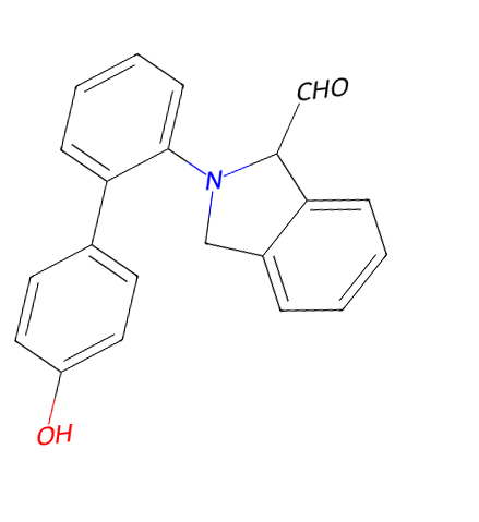 O=CC1c2ccccc2CN1c1ccccc1-c1ccc(O)cc1